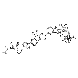 COC(=O)N[C@H](C(=O)N1CCC[C@H]1c1ncc(-c2ccc3c(c2)C(F)(F)c2cc(-c4ccc5nc(C6[C@H]7CC[C@H](C7)N6C(=O)[C@@H](NC(=O)OC)C(C)C)[nH]c5c4)ccc2-3)[nH]1)C(C)C